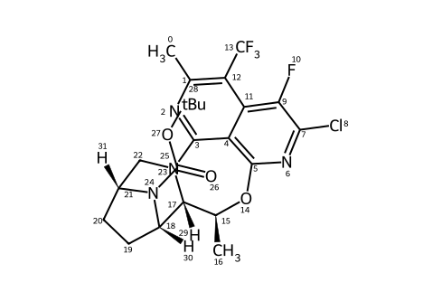 Cc1nc2c3c(nc(Cl)c(F)c3c1C(F)(F)F)O[C@@H](C)[C@@H]1[C@@H]3CC[C@H](CN21)N3C(=O)OC(C)(C)C